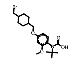 COc1cc(OCC2CCC(CBr)CC2)ccc1N(C(=O)O)C(C)(C)C